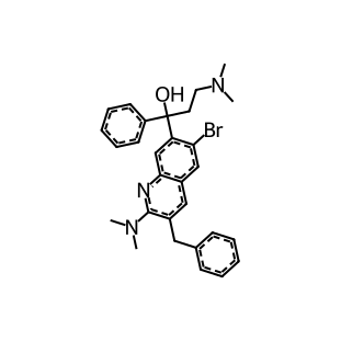 CN(C)CCC(O)(c1ccccc1)c1cc2nc(N(C)C)c(Cc3ccccc3)cc2cc1Br